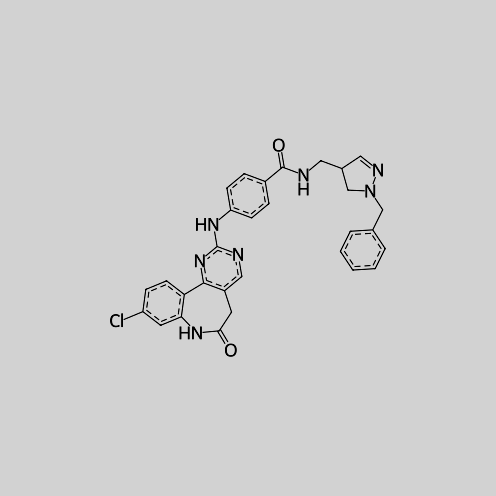 O=C1Cc2cnc(Nc3ccc(C(=O)NCC4C=NN(Cc5ccccc5)C4)cc3)nc2-c2ccc(Cl)cc2N1